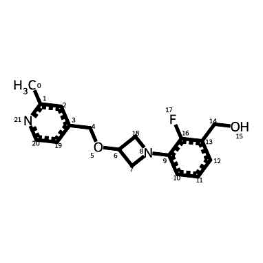 Cc1cc(COC2CN(c3cccc(CO)c3F)C2)ccn1